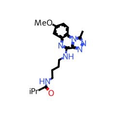 COc1ccc2c(c1)nc(NCCCCNC(=O)C(C)C)c1nnc(C)n12